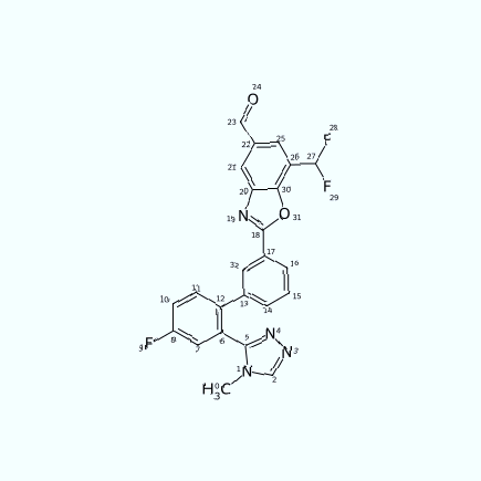 Cn1cnnc1-c1cc(F)ccc1-c1cccc(-c2nc3cc(C=O)cc(C(F)F)c3o2)c1